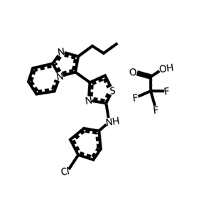 CCCc1nc2ccccn2c1-c1csc(Nc2ccc(Cl)cc2)n1.O=C(O)C(F)(F)F